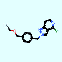 FC(F)(F)COCc1ccc(Cn2cc3c(Cl)nccc3n2)cc1